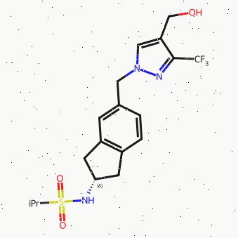 CC(C)S(=O)(=O)N[C@H]1Cc2ccc(Cn3cc(CO)c(C(F)(F)F)n3)cc2C1